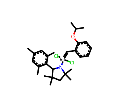 Cc1cc(C)c(C2[N]([Ru]([Cl])([Cl])=[CH]c3ccccc3OC(C)C)C(C)(C)CC2(C)C)c(C)c1